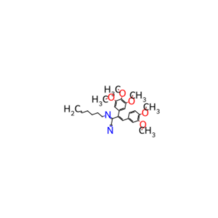 C=CCCCCN=C(C#N)/C(=C/c1ccc(OC)c(OC)c1)c1cc(OC)c(OC)c(OC)c1